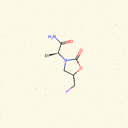 CC[C@@H](C(N)=O)N1CC(CI)OC1=O